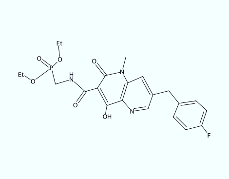 CCOP(=O)(CNC(=O)c1c(O)c2ncc(Cc3ccc(F)cc3)cc2n(C)c1=O)OCC